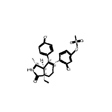 CC[C@@]12CC[C@@H](c3ccc(OS(C)(=O)=O)cc3Cl)[C@H](c3ccc(Cl)cc3)[C@@H]1[C@@H](C)NC2=O